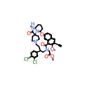 C#Cc1cc2ccccc2c(C(=O)N(CC(=O)OC)CC(CCN2CCC(C(=O)NC)(N3CCCCC3=O)CC2)c2ccc(Cl)c(Cl)c2)c1OC